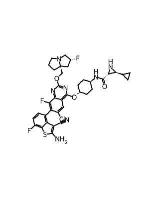 N#Cc1c(N)sc2c(F)ccc(-c3c(Cl)cc4c(O[C@H]5CC[C@H](NC(=O)[C@@H]6N[C@H]6C6CC6)CC5)nc(OC[C@@]56CCCN5C[C@H](F)C6)nc4c3F)c12